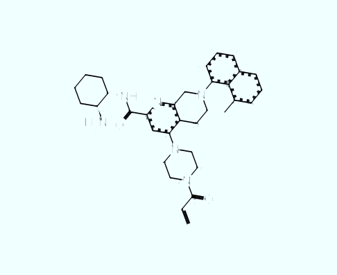 C=CC(=O)N1CCN(c2cc(C(=O)N[C@H]3CCCC[C@@H]3N)nc3c2CCN(c2cccc4cccc(C)c24)C3)CC1